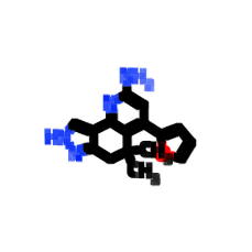 CC1(C)Cc2n[nH]cc2-c2nc(N)cc(-c3ccco3)c21